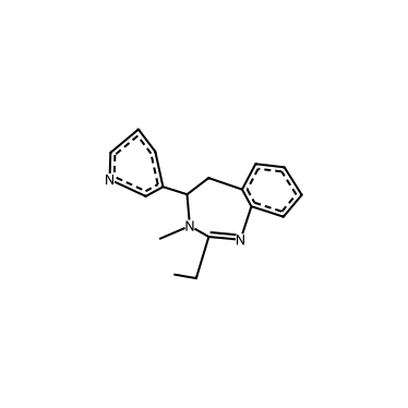 CCC1=Nc2ccccc2CC(c2cccnc2)N1C